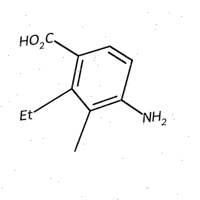 CCc1c(C(=O)O)ccc(N)c1C